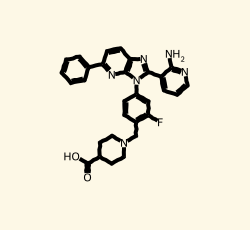 Nc1ncccc1-c1nc2ccc(-c3ccccc3)nc2n1-c1ccc(CN2CCC(C(=O)O)CC2)c(F)c1